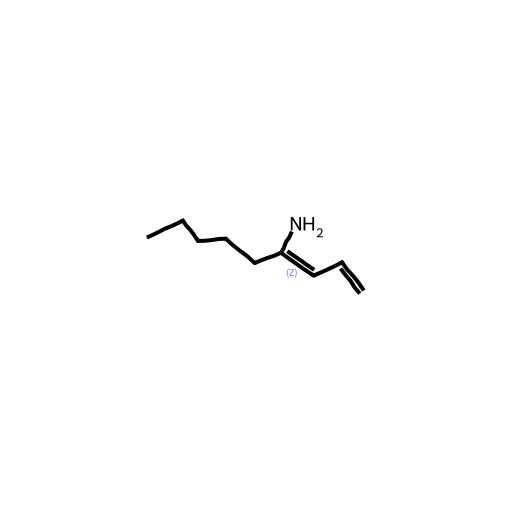 C=C/C=C(\N)CCCCC